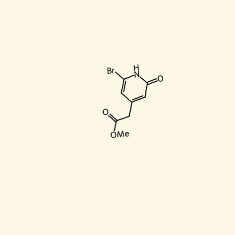 COC(=O)Cc1cc(Br)[nH]c(=O)c1